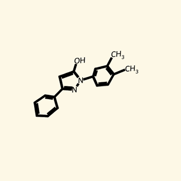 Cc1ccc(-n2nc(-c3ccccc3)cc2O)cc1C